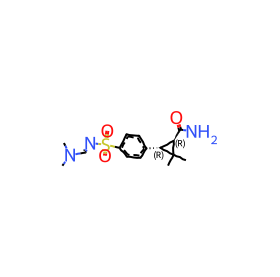 CN(C)C=NS(=O)(=O)c1ccc([C@@H]2[C@@H](C(N)=O)C2(C)C)cc1